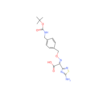 CC(C)(C)OC(=O)NCc1ccc(CON=C(C(=O)O)c2nsc(N)n2)cc1